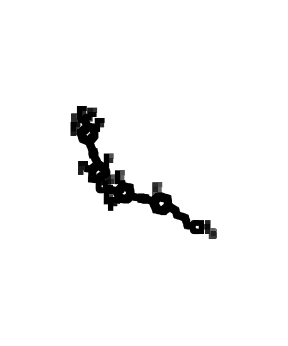 CCCCCc1ccc(C#Cc2cc(F)c(C(F)(F)Oc3cc(F)c(C#Cc4cc(F)c(C(F)(F)F)c(F)c4)c(F)c3)c(F)c2)c(F)c1